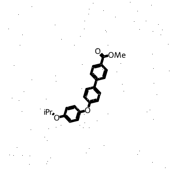 COC(=O)c1ccc(-c2ccc(Oc3ccc(OC(C)C)cc3)cc2)cc1